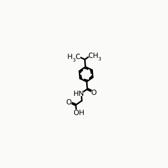 CC(C)c1ccc(C(=O)NCC(=O)O)cc1